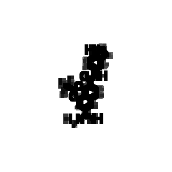 N=C(N)c1ccc2c(OC(=O)C(F)(F)F)c(C(=O)Nc3ccc4[nH]ccc4c3)ccc2c1